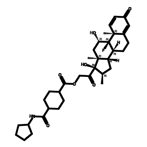 C[C@@H]1C[C@H]2[C@@H]3CCC4=CC(=O)C=C[C@]4(C)[C@@]3(F)[C@@H](O)C[C@]2(C)[C@@]1(O)C(=O)COC(=O)C1CCC(C(=O)NC2CCCC2)CC1